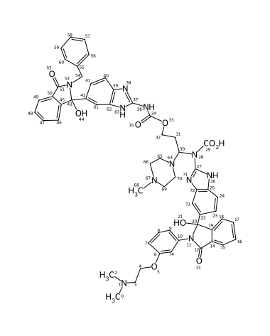 CN(C)CCOc1cccc(N2C(=O)c3ccccc3C2(O)c2ccc3[nH]c(N(C(=O)O)C(CCOC(=O)Nc4nc5ccc(C6(O)c7ccccc7C(=O)N6Cc6ccccc6)cc5[nH]4)N4CCN(C)CC4)nc3c2)c1